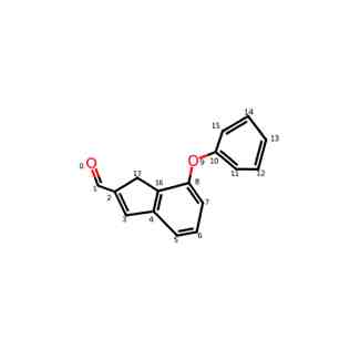 O=CC1=Cc2cccc(Oc3ccccc3)c2C1